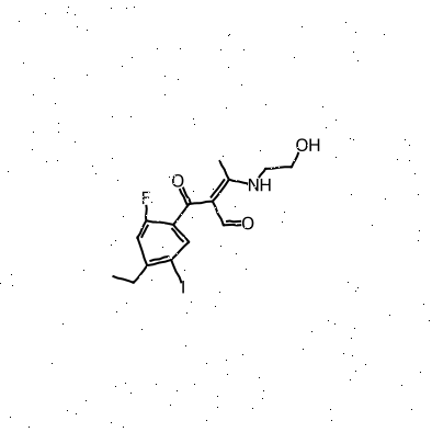 CCc1cc(F)c(C(=O)/C(C=O)=C(\C)NCCO)cc1I